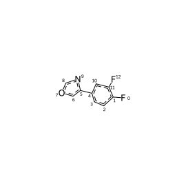 Fc1ccc(-c2cocn2)cc1F